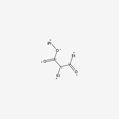 CCC(=O)C(CC)C(=O)OC(C)C